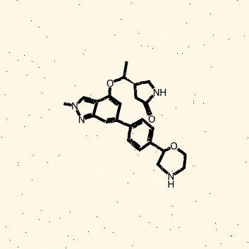 CC(Oc1cc(-c2ccc(C3CNCCO3)cc2)cc2nn(C)cc12)[C@H]1CNC(=O)C1